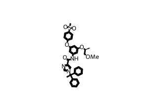 COC[C@H](C)Oc1cc(NC(=O)c2cn(C(C)(c3ccccc3)c3ccccc3)cn2)cc(Oc2ccc(S(C)(=O)=O)cc2)c1